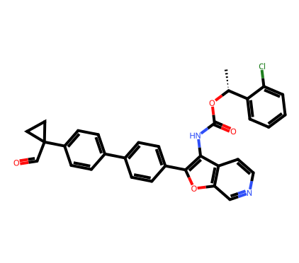 C[C@@H](OC(=O)Nc1c(-c2ccc(-c3ccc(C4(C=O)CC4)cc3)cc2)oc2cnccc12)c1ccccc1Cl